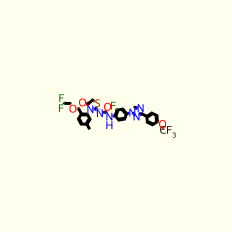 Cc1ccc(COCC(F)F)c(N2C(=O)CS/C2=N\C(=O)Nc2ccc(-n3cnc(-c4ccc(OC(F)(F)F)cc4)n3)cc2F)c1